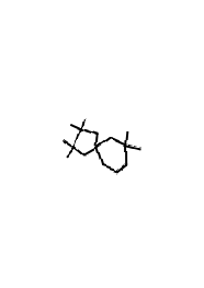 CC1(C)CCCC2(C1)CC(C)(C)C(C)(C)C2